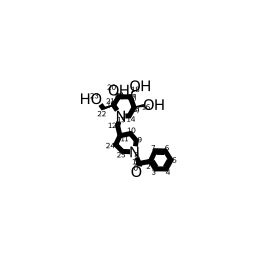 O=C(c1ccccc1)N1CCC(CN2C[C@H](O)[C@@H](O)[C@H](O)[C@@H]2CO)CC1